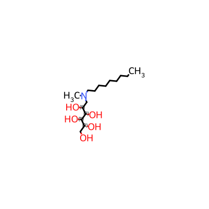 CCCCCCCCCN(C)C[C@H](O)[C@@H](O)[C@H](O)[C@H](O)CO